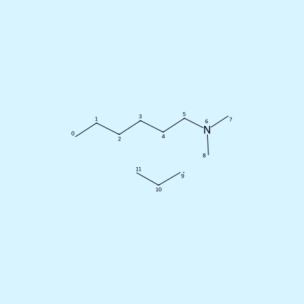 CCCCCCN(C)C.[CH2]CC